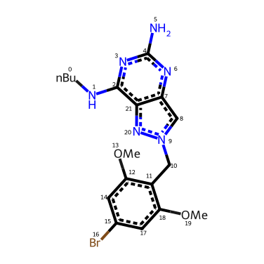 CCCCNc1nc(N)nc2cn(Cc3c(OC)cc(Br)cc3OC)nc12